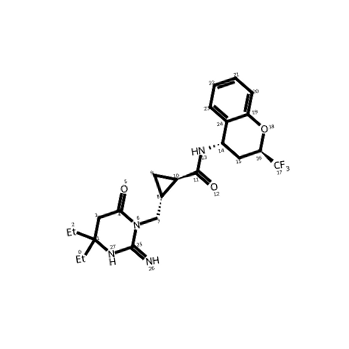 CCC1(CC)CC(=O)N(C[C@@H]2C[C@H]2C(=O)N[C@H]2C[C@H](C(F)(F)F)Oc3ccccc32)C(=N)N1